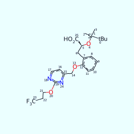 CC(C)(C)[Si](C)(C)O[C@@H](Cc1ccccc1OCc1ccnc(OCCC(F)(F)F)n1)C(=O)O